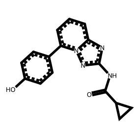 O=C(Nc1nc2cccc(-c3ccc(O)cc3)n2n1)C1CC1